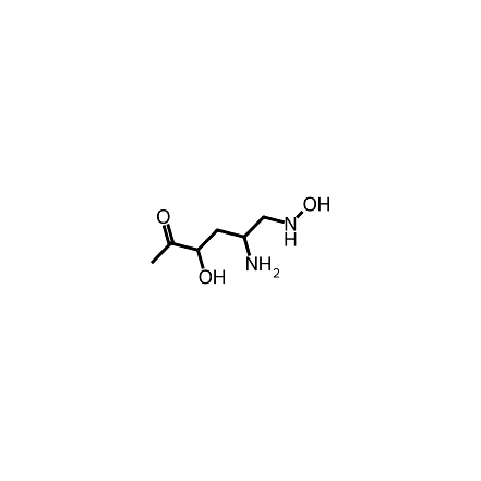 CC(=O)C(O)CC(N)CNO